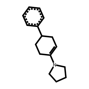 C1=C(N2CCCC2)CCC(c2ccccc2)C1